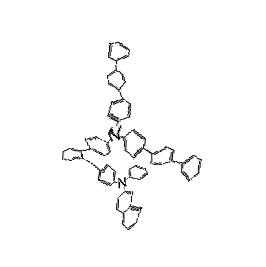 c1ccc(-c2ccc(-c3ccc(N(c4ccc(-c5ccc(-c6ccccc6)cc5)cc4)c4ccc(-c5ccccc5-c5ccc(N(c6ccccc6)c6ccc7ccccc7c6)cc5)cc4)cc3)cc2)cc1